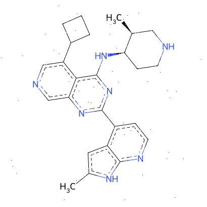 Cc1cc2c(-c3nc(N[C@@H]4CCNC[C@@H]4C)c4c(C5CCC5)cncc4n3)ccnc2[nH]1